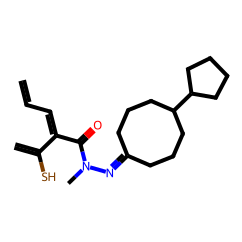 C=C/C=C(\C(=C)S)C(=O)N(C)N=C1CCCC(C2CCCC2)CCC1